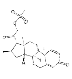 C[C@@H]1C[C@H]2[C@@H]3CCC4=CC(=O)C=C[C@]4(C)C3=CC[C@]2(C)[C@H]1C(=O)COS(C)(=O)=O